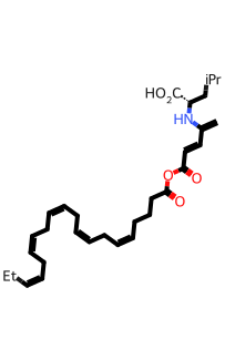 C=C(/C=C/C(=O)OC(=O)CCC/C=C\C/C=C\C/C=C\C/C=C\C/C=C\CC)N[C@@H](CC(C)C)C(=O)O